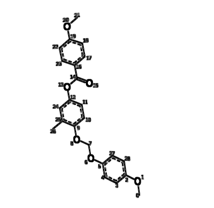 COc1ccc(OCOc2ccc(OC(=O)c3ccc(OC)cc3)cc2C)cc1